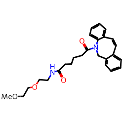 COCCOCCNC(=O)CCCCC(=O)N1Cc2ccccc2/C=C\c2ccccc21